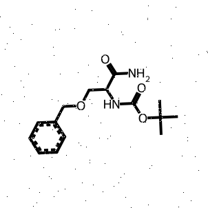 CC(C)(C)OC(=O)NC(COCc1ccccc1)C(N)=O